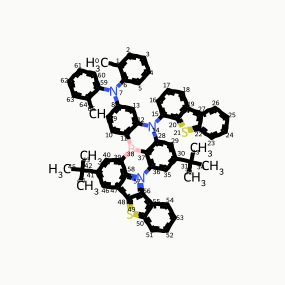 Cc1ccccc1N(c1ccc2c(c1)N(c1cccc3c1sc1ccccc13)c1cc(C(C)(C)C)cc3c1B2c1cc(C(C)(C)C)cc2c4sc5ccccc5c4n-3c12)c1ccccc1C